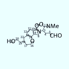 CNC(=O)C(CCC=O)N1Cc2c(ccc3c2OCCC(CCO)C3)C1=O